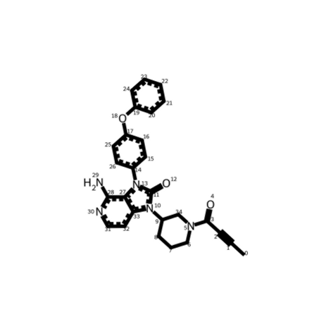 CC#CC(=O)N1CCCC(n2c(=O)n(-c3ccc(Oc4ccccc4)cc3)c3c(N)nccc32)C1